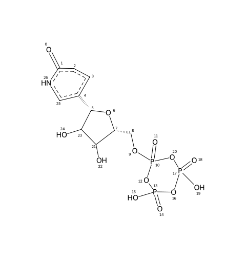 O=c1ccc([C@@H]2O[C@H](COP3(=O)OP(=O)(O)OP(=O)(O)O3)C(O)C2O)c[nH]1